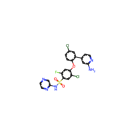 Nc1cc(-c2cc(Cl)ccc2Oc2cc(F)c(S(=O)(=O)Nc3cnccn3)cc2Cl)ccn1